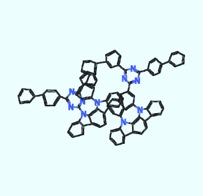 c1ccc(-c2ccc(-c3nc(-c4cccc(-c5cccc(-c6cccc(-n7c8ccccc8c8ccc9c%10ccccc%10n(-c%10nc(-c%11ccccc%11)nc(-c%11ccc(-c%12ccccc%12)cc%11)n%10)c9c87)c6)c5)c4)nc(-c4cccc(-n5c6ccccc6c6ccc7c8ccccc8n(-c8ccccc8)c7c65)c4)n3)cc2)cc1